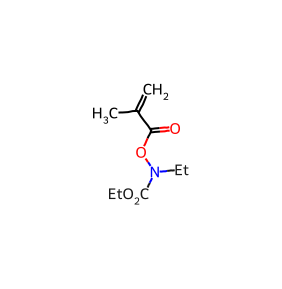 [CH2]COC(=O)N(CC)OC(=O)C(=C)C